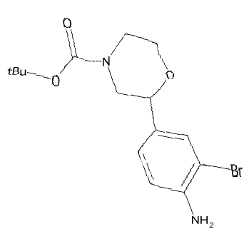 CC(C)(C)OC(=O)N1CCOC(c2ccc(N)c(Br)c2)C1